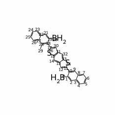 Bc1cc2ccccc2cc1-c1cc2cc3sc(-c4c(B)cc5ccccc5c4C)cc3cc2s1